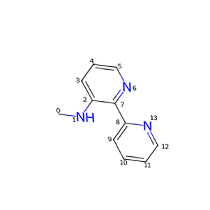 CNc1cccnc1-c1ccccn1